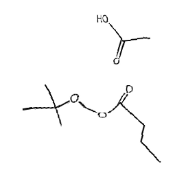 CC(=O)O.CCCC(=O)OOC(C)(C)C